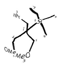 CCCC(COC)(COC)[Si](C)(C)C